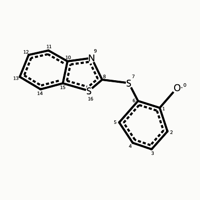 [O]c1ccccc1Sc1nc2ccccc2s1